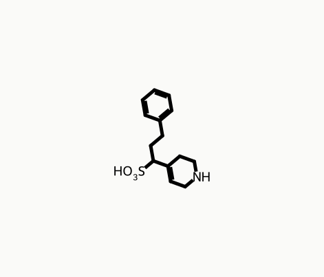 O=S(=O)(O)C(CCc1ccccc1)C1=CCNCC1